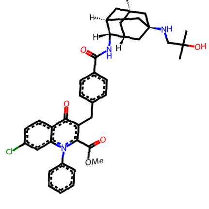 COC(=O)c1c(Cc2ccc(C(=O)N[C@H]3[C@@H]4C[C@H]5C[C@H]3C[C@](NCC(C)(C)O)(C5)C4)cc2)c(=O)c2ccc(Cl)cc2n1-c1ccccc1